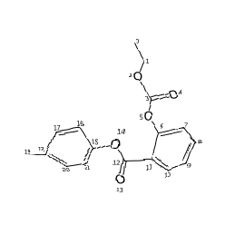 CCOC(=O)Oc1ccccc1C(=O)Oc1ccc(C)cc1